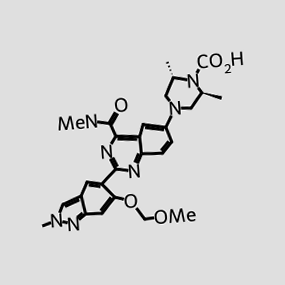 CNC(=O)c1nc(-c2cc3cn(C)nc3cc2OCOC)nc2ccc(N3C[C@H](C)N(C(=O)O)[C@@H](C)C3)cc12